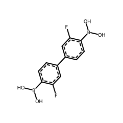 OB(O)c1ccc(-c2ccc(B(O)O)c(F)c2)cc1F